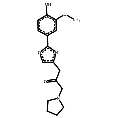 COc1cc(-c2nc(CC(=O)CN3CCCC3)co2)ccc1O